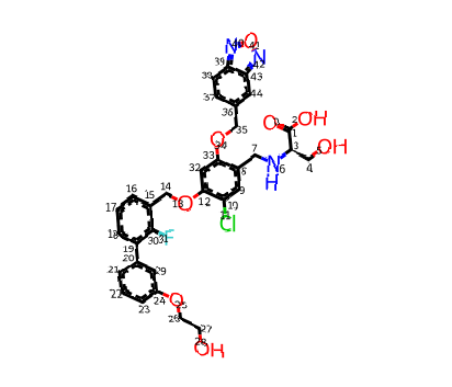 O=C(O)[C@@H](CO)NCc1cc(Cl)c(OCc2cccc(-c3cccc(OCCO)c3)c2F)cc1OCc1ccc2nonc2c1